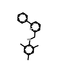 Cc1cc(C)c(NCc2cccc(-c3ccccc3)n2)c(C)c1